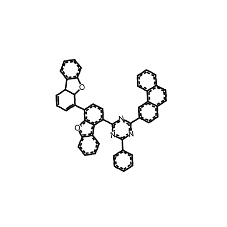 C1=CC2c3ccccc3OC2C(c2ccc(-c3nc(-c4ccccc4)nc(-c4ccc5ccc6ccccc6c5c4)n3)c3c2oc2ccccc23)=C1